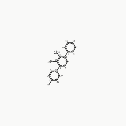 Cc1ccc(-c2ccc(-c3ccccc3)c(Cl)c2F)cc1